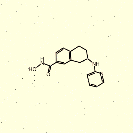 O=C(NO)c1ccc2c(c1)CC(Nc1ccccn1)CC2